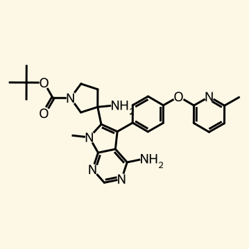 Cc1cccc(Oc2ccc(-c3c(C4(N)CCN(C(=O)OC(C)(C)C)C4)n(C)c4ncnc(N)c34)cc2)n1